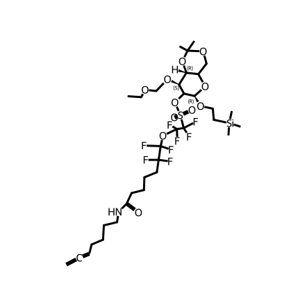 C=C=CCCCCNC(=O)CCCCC(F)(F)C(F)(F)OC(F)(F)C(F)(F)S(=O)(=O)OC1[C@H](OCC[Si](C)(C)C)OC2COC(C)(C)O[C@H]2[C@@H]1OCOCC